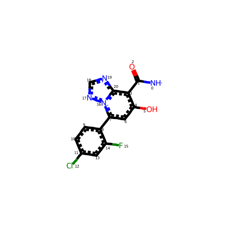 [NH]C(=O)c1c(O)cc(-c2ccc(Cl)cc2F)n2ncnc12